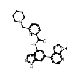 O=C(Nc1cc(-c2ccnc3[nH]ccc23)cc2[nH]ncc12)c1cccc(CN2CCCCC2)n1